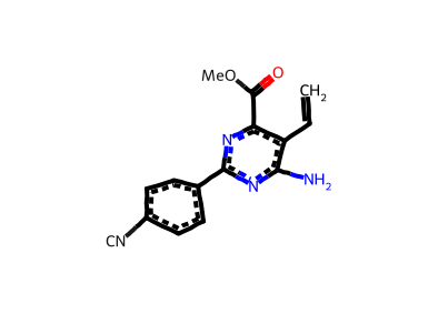 [C-]#[N+]c1ccc(-c2nc(N)c(C=C)c(C(=O)OC)n2)cc1